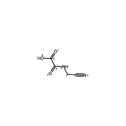 N#CCNC(=O)C(=O)O